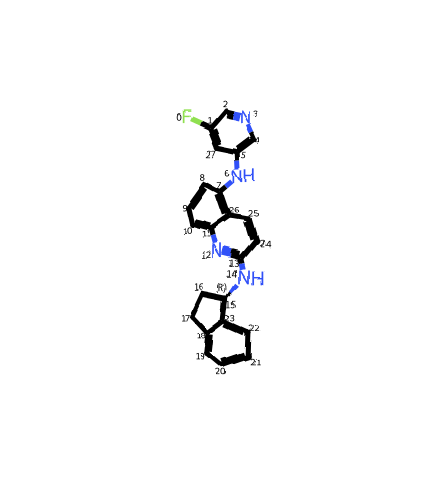 Fc1cncc(Nc2cccc3nc(N[C@@H]4CCc5ccccc54)ccc23)c1